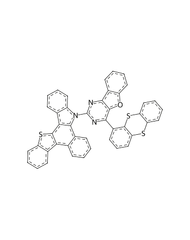 c1ccc2c(c1)Sc1cccc(-c3nc(-n4c5ccccc5c5c6sc7ccccc7c6c6ccccc6c54)nc4c3oc3ccccc34)c1S2